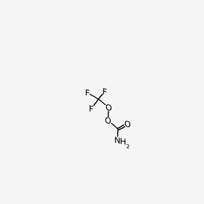 NC(=O)OOC(F)(F)F